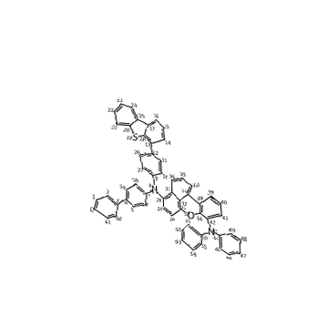 c1ccc(-c2ccc(N(c3ccc(-c4cccc5c4sc4ccccc45)cc3)c3ccc4c5c(cccc35)-c3cccc(N(c5ccccc5)c5ccccc5)c3O4)cc2)cc1